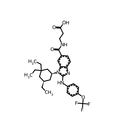 CC[C@@H]1C[C@H](n2c(Nc3ccc(OC(F)(F)F)cc3)nc3ccc(C(=O)NCCC(=O)O)cc32)CC(CC)(CC)C1